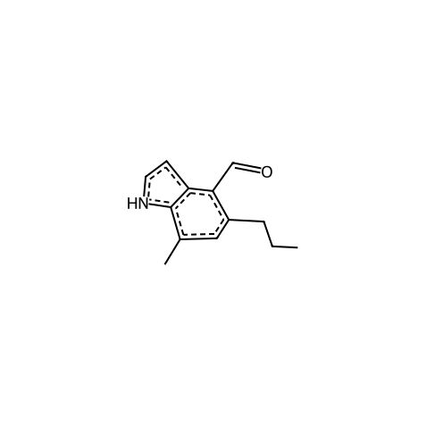 CCCc1cc(C)c2[nH]ccc2c1C=O